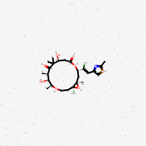 Cc1nc(C=C(F)[C@@H]2C[C@H]3O[C@@]3(Cl)CCO[C@@H](C)[C@@H](O)[C@@H](C)C(=O)C(C)(C)[C@@H](O)CC(=O)O2)cs1